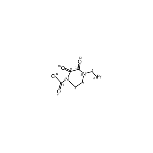 CC(C)CN1CCN(C(=O)Cl)C(=O)C1=O